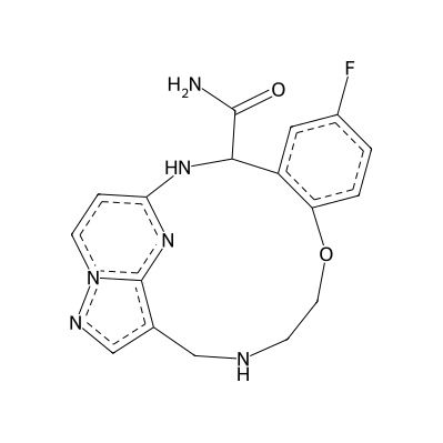 NC(=O)C1Nc2ccn3ncc(c3n2)CNCCOc2ccc(F)cc21